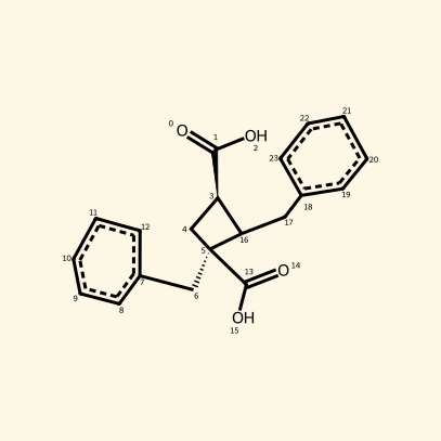 O=C(O)[C@@H]1C[C@](Cc2ccccc2)(C(=O)O)C1Cc1ccccc1